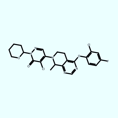 CC1c2ncnc(Oc3ccc(F)cc3Cl)c2CCN1c1cnn(C2CCCCO2)c(=O)c1Cl